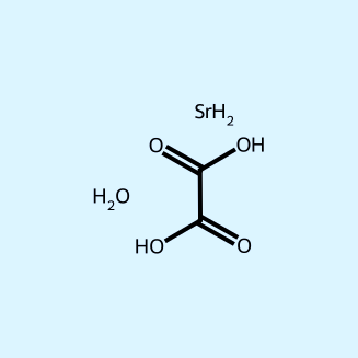 O.O=C(O)C(=O)O.[SrH2]